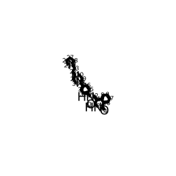 O=C1NC(=O)c2ccccc2C1=CNc1ccc(N2CCN(CCN3CCCC3)CC2)cc1